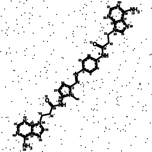 Cn1c(/C=N/c2ccc(NC(=O)CCn3cnc4c(N)ncnc43)cc2)ccc1NC(=O)CCn1cnc2c(N)ncnc21